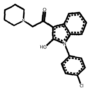 O=C(CN1CCCCC1)c1c(O)n(-c2ccc(Cl)cc2)c2ccccc12